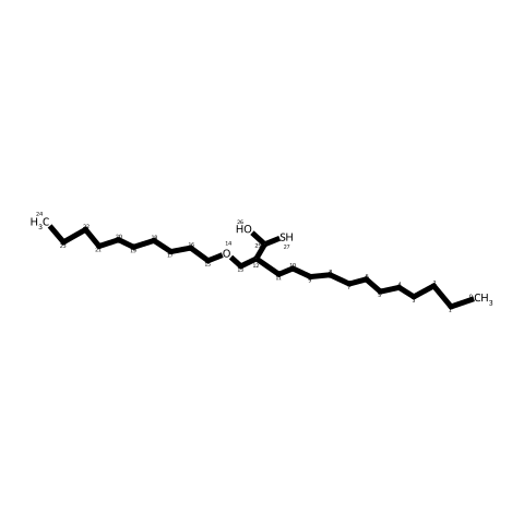 CCCCCCCCCCCCC(COCCCCCCCCCC)C(O)S